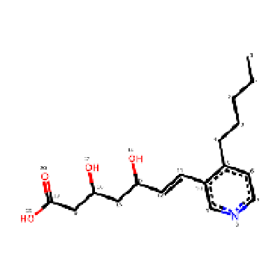 CCCCCc1ccncc1/C=C/C(O)CC(O)CC(=O)O